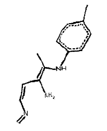 C=N/C=C\C(N)=C(/C)Nc1ccc(C)cc1